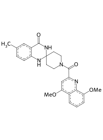 COc1cc(C(=O)N2CCC3(CC2)NC(=O)c2cc(C)ccc2N3)nc2c(OC)cccc12